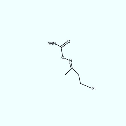 CNC(=O)O/N=C(\C)CCC(C)C